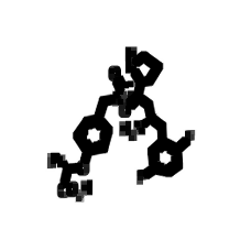 CC(C)[C@H](Oc1ccc(CNC(=O)[C@@]2(C(=O)C[C@H](N)Cc3cc(F)ccc3F)CCCN2)cc1)C(=O)O